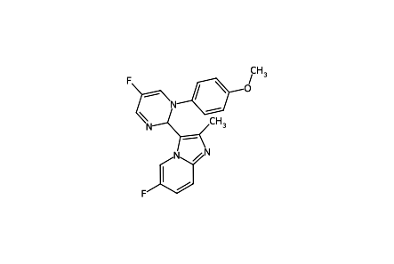 COc1ccc(N2C=C(F)C=NC2c2c(C)nc3ccc(F)cn23)cc1